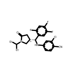 CCC(CC)N1C[C@@H](C(Nc2ccc(C#N)c(Cl)c2)c2cc(F)c(F)cc2F)CC1=O